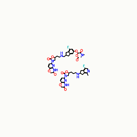 CN(C)C(=O)C(OC=O)Oc1cc(F)c2c(c1)CC(CNCCC1CN(c3ccc4c(n3)NC(=O)CO4)C(=O)O1)C2.Cc1ncc(F)c2c1CC(NCCCC1CN(c3ccc4c(n3)NC(=O)CO4)C(=O)O1)C2